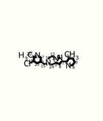 Cc1cccnc1-c1cc2n(n1)CCN(Cc1cnc(C)c(Cl)c1)C2